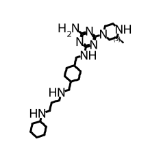 C[C@H]1CN(c2nc(N)nc(NCC3CCC(CNCCCNC4CCCCC4)CC3)n2)CCN1